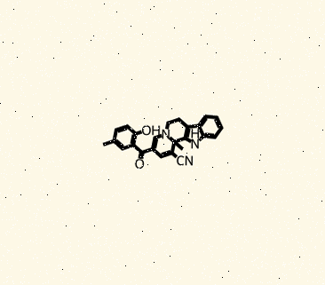 Cc1ccc(O)c(C(=O)C2=CN3CCc4c([nH]c5ccccc45)C3(C)C(C#N)=C2)c1